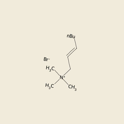 CCCCC=CC[N+](C)(C)C.[Br-]